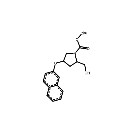 CC(C)(C)OC(=O)N1CC(Oc2ccc3ccccc3c2)CC1CO